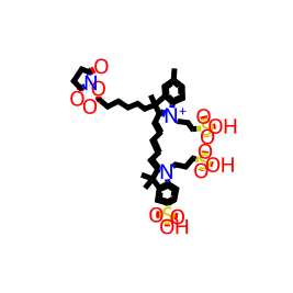 Cc1ccc2c(c1)C(C)(CCCCCC(=O)ON1C(=O)CCC1=O)C(/C=C/C=C/C=C1\N(CCCS(=O)(=O)O)c3ccc(S(=O)(=O)O)cc3C1(C)C)=[N+]2CCCS(=O)(=O)O